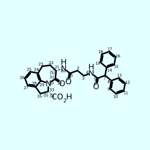 O=C(CCNC(=O)C(c1ccccc1)c1ccccc1)N[C@H]1CCc2cccc3c2N(C1=O)[C@H](C(=O)O)C3